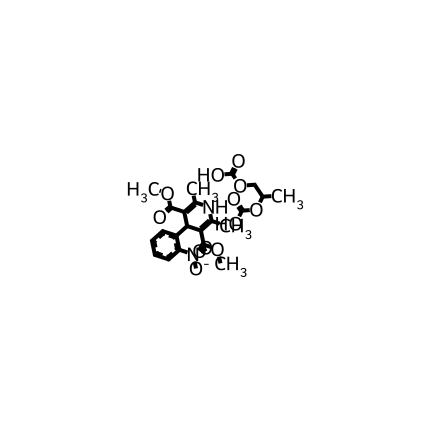 CC(COC(=O)O)OC(=O)O.COC(=O)C1=C(C)NC(C)=C(C(=O)OC)C1c1ccccc1[N+](=O)[O-]